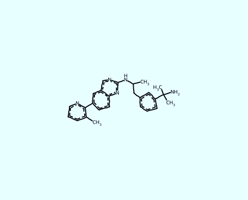 Cc1cccnc1-c1ccc2nc(NC(C)Cc3cccc(C(C)(C)N)c3)ncc2c1